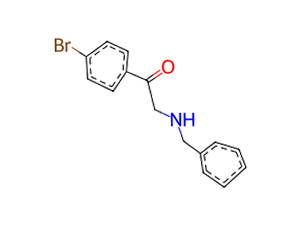 O=C(CNCc1ccccc1)c1ccc(Br)cc1